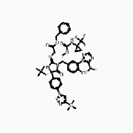 CC(C)(C)C[C@]1(c2ccc(-n3cc([Si](C)(C)C)nn3)cc2)NC(=NCC(=O)OCc2ccccc2)N([C@H](COC(=O)NC2(C(F)(F)F)CC2)c2ccc(Cl)c(-n3ncnc3C(F)F)c2)C1=O